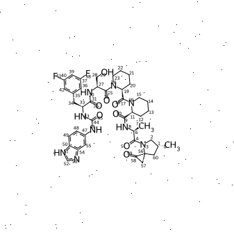 C[C@H]1CN(C(=O)[C@H](C)NC(=O)[C@@H]2CCCCN2C(=O)[C@@H]2CCCCN2C(=O)[C@H](CO)NC(=O)[C@H](Cc2cc(F)cc(F)c2)NC(=O)Nc2ccc3[nH]cnc3c2)C2(CC2=O)C1